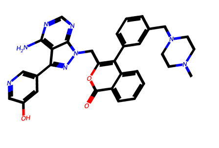 CN1CCN(Cc2cccc(-c3c(Cn4nc(-c5cncc(O)c5)c5c(N)ncnc54)oc(=O)c4ccccc34)c2)CC1